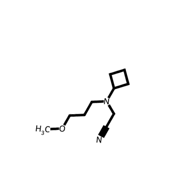 COCCCN(CC#N)C1CCC1